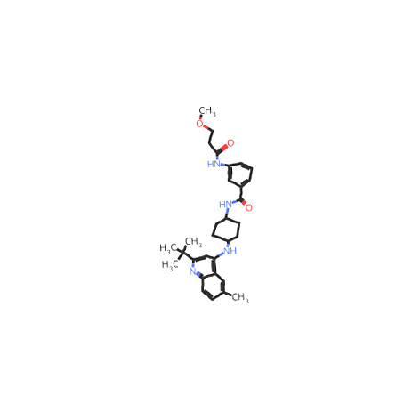 COCCC(=O)Nc1cccc(C(=O)NC2CCC(Nc3cc(C(C)(C)C)nc4ccc(C)cc34)CC2)c1